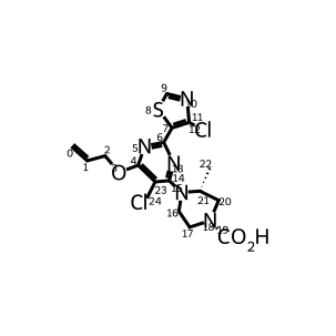 C=CCOc1nc(-c2scnc2Cl)nc(N2CCN(C(=O)O)C[C@H]2C)c1Cl